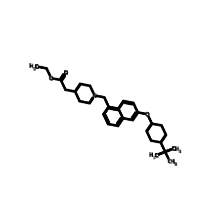 CCOC(=O)CC1CCN(Cc2cccc3cc(OC4CCC(C(C)(C)C)CC4)ccc23)CC1